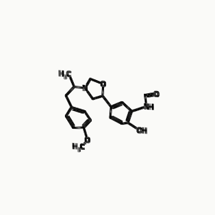 COc1ccc(CC(C)N2COC(c3ccc(O)c(NC=O)c3)C2)cc1